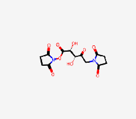 O=C(CN1C(=O)CCC1=O)[C@H](O)[C@@H](O)C(=O)ON1C(=O)CCC1=O